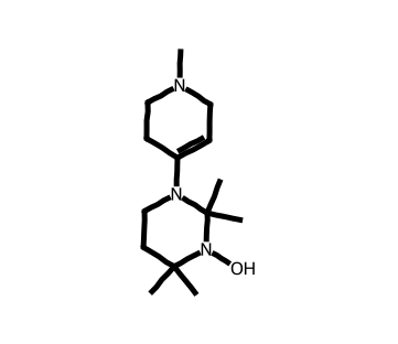 CN1CC=C(N2CCC(C)(C)N(O)C2(C)C)CC1